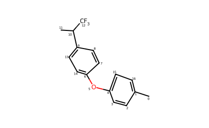 Cc1ccc(Oc2ccc(C(C)C(F)(F)F)cc2)cc1